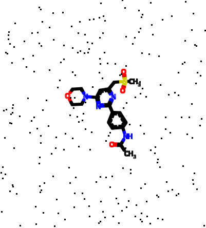 CC(=O)Nc1ccc(-c2nc(CS(C)(=O)=O)cc(N3CCOCC3)n2)cc1